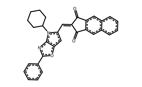 O=C1C(=Cc2cc3oc(-c4ccccc4)nc3n2C2CCCCC2)C(=O)c2cc3ccccc3cc21